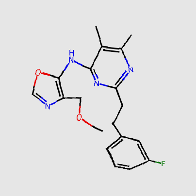 COCc1ncoc1Nc1nc(CCc2cccc(F)c2)nc(C)c1C